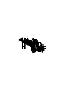 Cc1ccc(C(=O)Nc2cccc(C(F)(F)F)c2)cc1-c1cc2cnc(NC3CC3)nc2cc1OCc1ccccc1